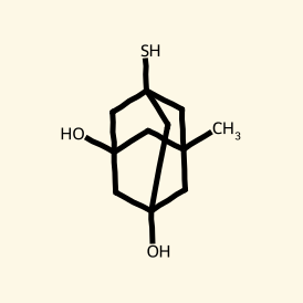 CC12CC3(O)CC(O)(C1)CC(S)(C2)C3